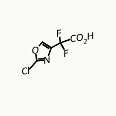 O=C(O)C(F)(F)c1coc(Cl)n1